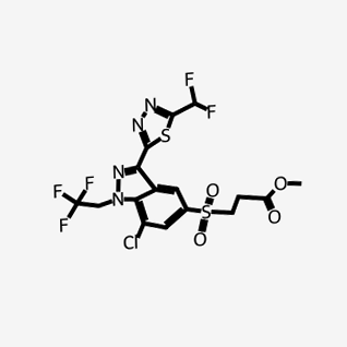 COC(=O)CCS(=O)(=O)c1cc(Cl)c2c(c1)c(-c1nnc(C(F)F)s1)nn2CC(F)(F)F